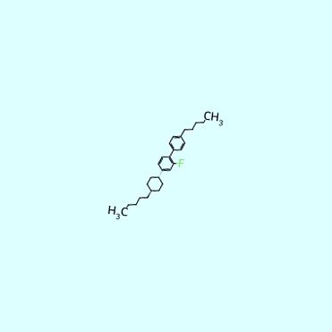 CCCCCc1ccc(-c2ccc([C@H]3CC[C@H](CCCCC)CC3)cc2F)cc1